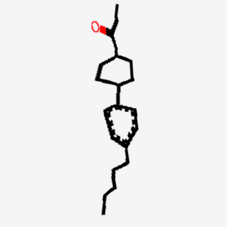 CCCCCc1ccc(C2CCC(C(=O)CC)CC2)cc1